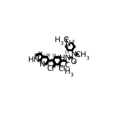 CC(NC(=O)N(C)C1CCN(C)CC1)c1ccc(-c2cnc3[nH]ccc3c2)c(Cl)c1Cl